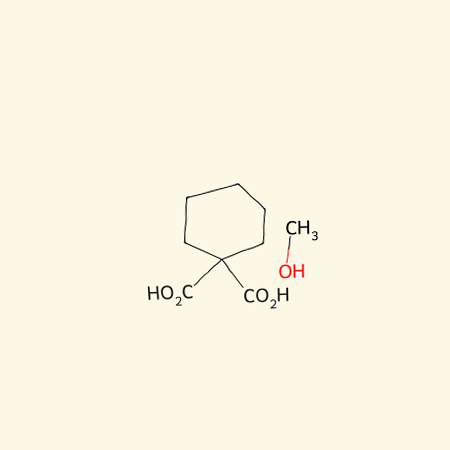 CO.O=C(O)C1(C(=O)O)CCCCC1